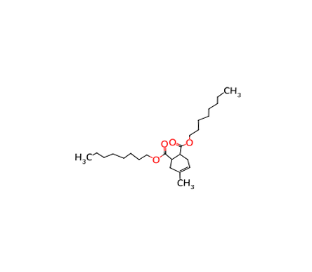 CCCCCCCCOC(=O)C1CC=C(C)CC1C(=O)OCCCCCCCC